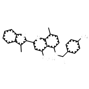 Cc1c(-c2cc(C(=O)O)c3c(O[C@@H](C)c4ccc(C#N)cc4)ccc(C)c3n2)oc2ccccc12